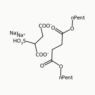 CCCCCOC(=O)CCC(=O)OCCCCC.O=C([O-])CC(C(=O)[O-])S(=O)(=O)O.[Na+].[Na+]